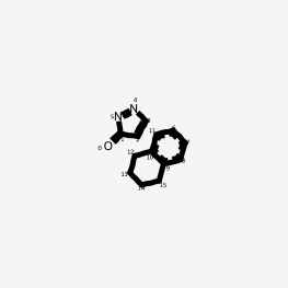 O=C1C=CN=N1.c1ccc2c(c1)CCCC2